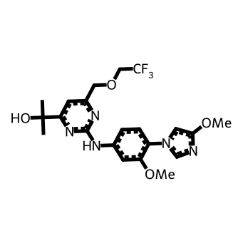 COc1cn(-c2ccc(Nc3nc(COCC(F)(F)F)cc(C(C)(C)O)n3)cc2OC)cn1